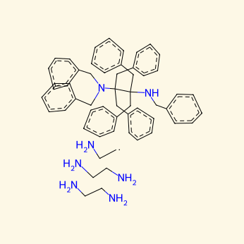 NCCN.NCCN.[CH2]CN.c1ccc(CNC(Cc2ccccc2)(Cc2ccccc2)C(Cc2ccccc2)(Cc2ccccc2)N(Cc2ccccc2)Cc2ccccc2)cc1